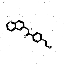 CC(C)/C=C/c1ccc(C(=O)Nc2ccc3ncccc3c2)cc1